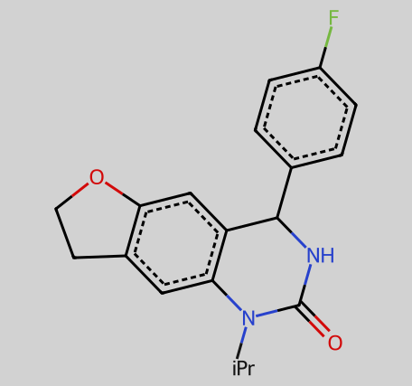 CC(C)N1C(=O)NC(c2ccc(F)cc2)c2cc3c(cc21)CCO3